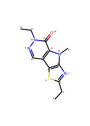 CCc1nc2c(s1)c1cnn(CC)c(=O)c1n2C